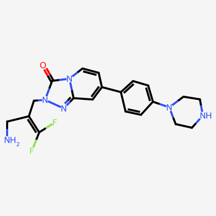 NCC(Cn1nc2cc(-c3ccc(N4CCNCC4)cc3)ccn2c1=O)=C(F)F